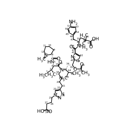 CC[C@H](C)[C@H](NC(=O)[C@H]1CCCCN1C)C(=O)N(CCCCc1cn(CCCC(=O)O)nn1)[C@H](C[C@@H](OC(C)=O)c1nc(C(=O)N[C@@H](Cc2ccc(N)cc2)CC(C)(C)C(=O)O)cs1)C(C)C